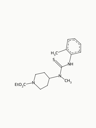 CCOC(=O)N1CCC(N(C)C(=S)Nc2ccccc2C)CC1